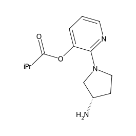 CC(C)C(=O)Oc1cccnc1N1CC[C@H](N)C1